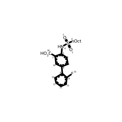 CCCCCCCCS(=O)(=O)Nc1ccc(-c2ccccc2F)cc1C(=O)O